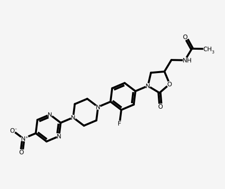 CC(=O)NCC1CN(c2ccc(N3CCN(c4ncc([N+](=O)[O-])cn4)CC3)c(F)c2)C(=O)O1